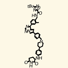 Cc1cc(-c2ncnn3cc(-c4ccc(CN5CCC(c6ccc(N[C@H]7CCC(=O)NC7=O)cc6)CC5)cc4)cc23)ccc1CNC(=O)c1nc(C(C)(C)C)no1